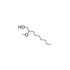 CCCCCCCC(CO)OC